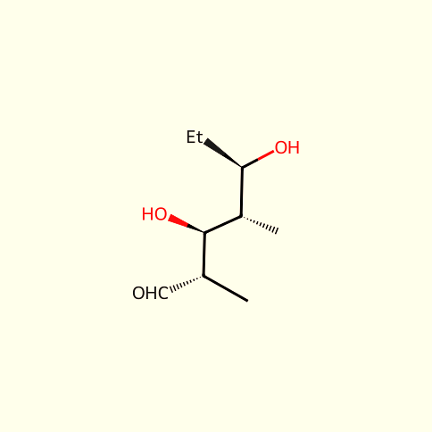 CC[C@@H](O)[C@H](C)[C@H](O)[C@H](C)C=O